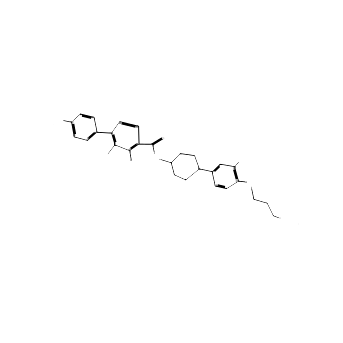 CCCCOc1ccc(C2CCC(OC(=O)c3ccc(-c4ccc(C)cc4)c(F)c3F)CC2)cc1F